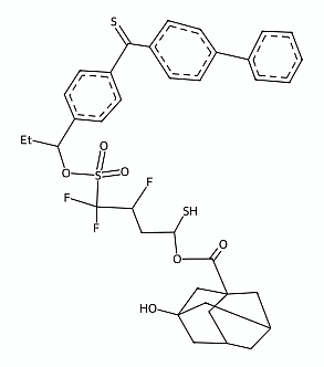 CCC(OS(=O)(=O)C(F)(F)C(F)CC(S)OC(=O)C12CC3CC(CC(O)(C3)C1)C2)c1ccc(C(=S)c2ccc(-c3ccccc3)cc2)cc1